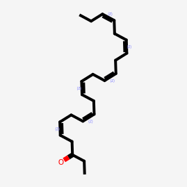 CC/C=C\C/C=C\C/C=C\C/C=C\C/C=C\C/C=C\CC(=O)CC